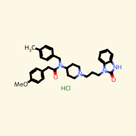 COc1ccc(CC(=O)N(Cc2ccc(C)cc2)C2CCN(CCCn3c(=O)[nH]c4ccccc43)CC2)cc1.Cl